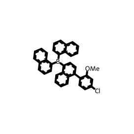 COc1cc(Cl)ccc1-c1ccc(B(c2cccc3ccccc23)c2cccc3ccccc23)c2ccccc12